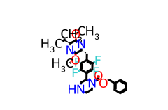 COC1=N[C@H](Cc2c(F)c(F)c(C3CNCCN3C(=O)OCc3ccccc3)c(F)c2F)C(OC)=N[C@H]1C(C)C